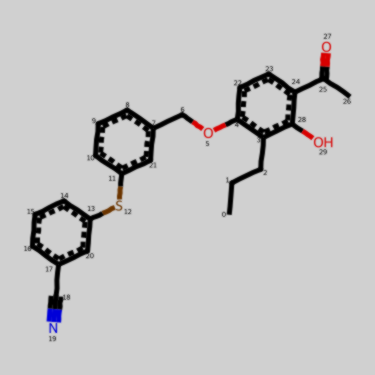 CCCc1c(OCc2cccc(Sc3cccc(C#N)c3)c2)ccc(C(C)=O)c1O